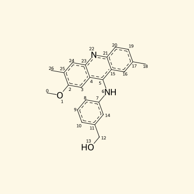 COc1cc2c(Nc3cccc(CO)c3)c3cc(C)ccc3nc2cc1C